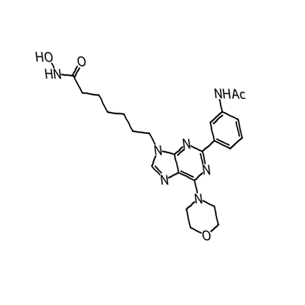 CC(=O)Nc1cccc(-c2nc(N3CCOCC3)c3ncn(CCCCCCC(=O)NO)c3n2)c1